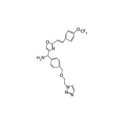 NC(c1ccc(COCCn2ccnn2)cc1)c1coc(C=Cc2ccc(OC(F)(F)F)cc2)n1